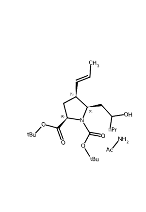 CC(N)=O.CC=C[C@@H]1C[C@H](C(=O)OC(C)(C)C)N(C(=O)OC(C)(C)C)[C@@H]1CC(O)CCC